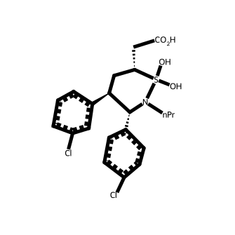 CCCN1[C@H](c2ccc(Cl)cc2)[C@@H](c2cccc(Cl)c2)C[C@H](CC(=O)O)S1(O)O